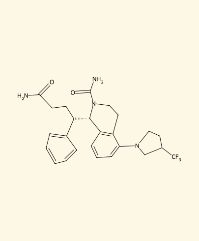 NC(=O)CCC(c1ccccc1)[C@H]1c2cccc(N3CCC(C(F)(F)F)C3)c2CCN1C(N)=O